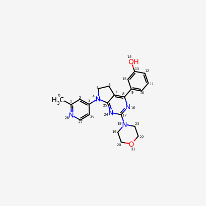 Cc1cc(N2CCc3c(-c4cccc(O)c4)nc(N4CCOCC4)nc32)ccn1